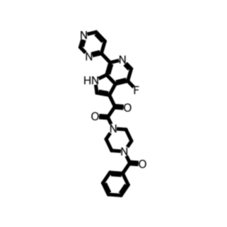 O=C(C(=O)N1CCN(C(=O)c2ccccc2)CC1)c1c[nH]c2c(-c3ccncn3)ncc(F)c12